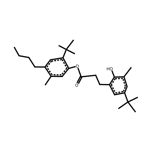 CCCCc1cc(C(C)(C)C)c(OC(=O)CCc2cc(C(C)(C)C)cc(C)c2O)cc1C